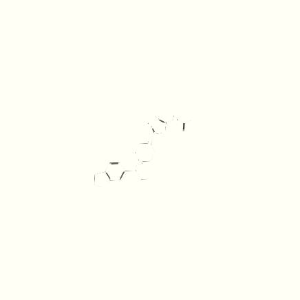 CCC(c1ccc2c(c1)OCC2)N1CCN(c2nnc(NC(C)=O)s2)CC1